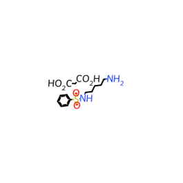 NCCCCCNS(=O)(=O)c1ccccc1.O=C(O)CC(=O)O